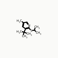 Cc1cnc(SC(C)C)c(C(C)(C)C)c1